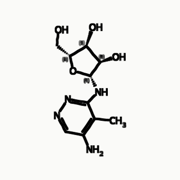 Cc1c(N)cnnc1N[C@@H]1O[C@H](CO)[C@@H](O)[C@H]1O